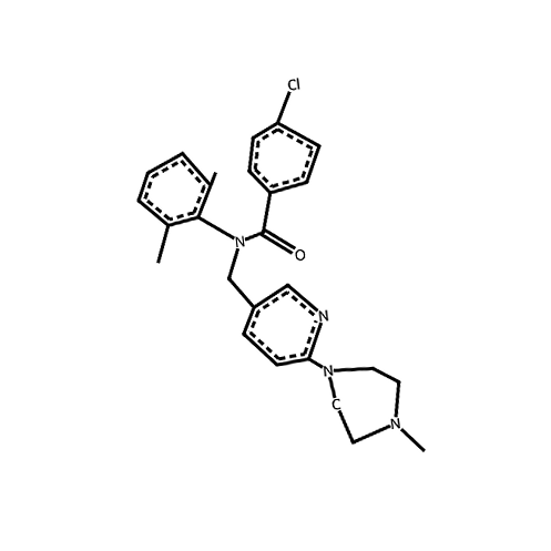 Cc1cccc(C)c1N(Cc1ccc(N2CCN(C)CC2)nc1)C(=O)c1ccc(Cl)cc1